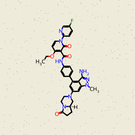 CCOc1ccn(-c2ccc(F)cn2)c(=O)c1C(=O)Nc1ccc(-c2cc(N3CCN4C(=O)CC[C@@H]4C3)cc3c2c(N)nn3C)cc1